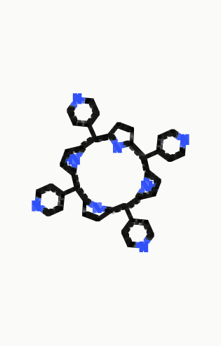 C1=Cc2nc1c(-c1ccncc1)c1ccc([nH]1)c(-c1ccncc1)c1nc(c(-c3ccncc3)c3ccc([nH]3)c2-c2ccncc2)C=C1